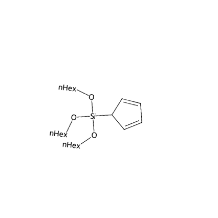 CCCCCCO[Si](OCCCCCC)(OCCCCCC)C1C=CC=C1